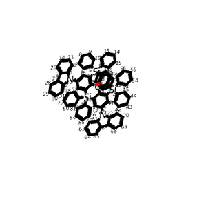 c1ccc([Si](c2ccccc2)(c2ccccc2)c2cc(-n3c4ccccc4c4ccccc43)cc3c2Oc2c([Si](c4ccccc4)(c4ccccc4)c4ccccc4)cc(-n4c5ccccc5c5ccccc54)cc2[Si]3(c2ccccc2)c2ccccc2)cc1